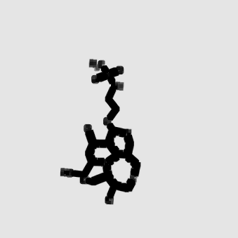 CS(=O)(=O)NCCOc1ncc2cccc(Cl)/c(=C/Cl)n3c(CO)cc(=O)c1c23